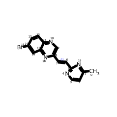 Cc1ccnc(/C=C/c2cnc3ccc(Br)cc3n2)n1